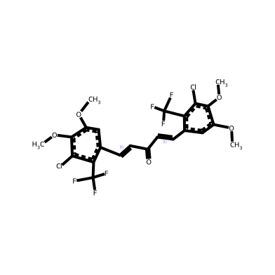 COc1cc(/C=C/C(=O)/C=C/c2cc(OC)c(OC)c(Cl)c2C(F)(F)F)c(C(F)(F)F)c(Cl)c1OC